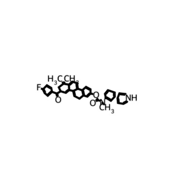 C1=CC=CNC=C1.CN(C(=O)Oc1ccc2c(c1)CC=c1c-2ccc2c1=CC(C(=O)c1ccc(F)cc1)CC2(C)C)c1ccccc1